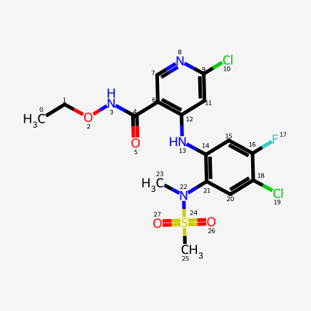 CCONC(=O)c1cnc(Cl)cc1Nc1cc(F)c(Cl)cc1N(C)S(C)(=O)=O